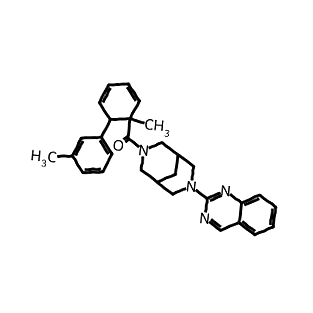 Cc1cccc(C2C=CC=CC2(C)C(=O)N2CC3CC(C2)CN(c2ncc4ccccc4n2)C3)c1